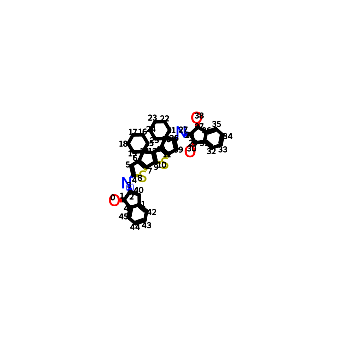 O=C1/C(=N/c2cc3c(s2)-c2sc4c(c2C32CCCCC2)C2(CCCCC2)C(N=c2c(=O)c3ccccc3c2=O)=C4)Cc2ccccc21